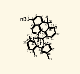 CCCCc1ccc2c3c4[n+](ccc13)C(CC)(CC)C([n+]1ccc(C)cc1-c1cc(C)ccc1C)c1ccc(F)c(c1-4)C2(C)C